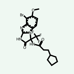 COc1ccc2c(nc3n2C(NC(=O)CCC2CCCC2)(C(F)(F)F)C(=O)N3)c1Br